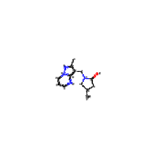 CCCC1CC(=O)N(Cc2c(C)nn3cccnc23)C1